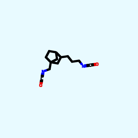 O=C=NCCCC1CC2(CN=C=O)CCC1C2